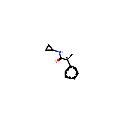 C[C@H](C(=O)NC1CC1)c1ccccc1